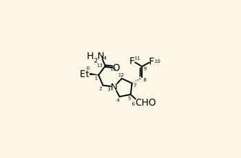 CC[C@H](CN1CC(C=O)[C@@H](C=C(F)F)C1)C(N)=O